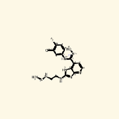 NSNCCNc1nc2nccc(/C(=N/O)Nc3ccc(F)c(Cl)c3)c2[nH]1